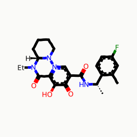 CCN1C(=O)c2c(O)c(=O)c(C(=O)N[C@@H](C)c3ccc(F)cc3C)cn2N2CCCC[C@@H]12